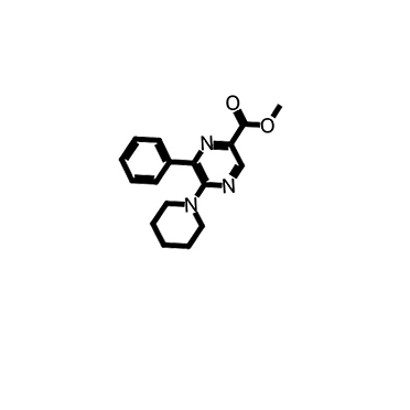 COC(=O)c1cnc(N2CCCCC2)c(-c2ccccc2)n1